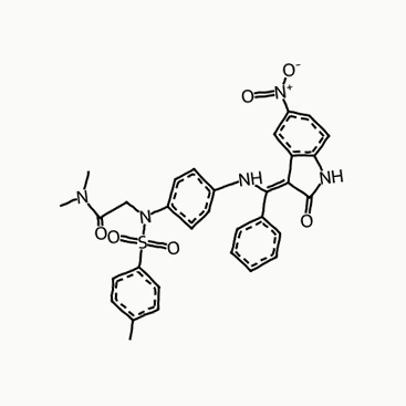 Cc1ccc(S(=O)(=O)N(CC(=O)N(C)C)c2ccc(NC(=C3C(=O)Nc4ccc([N+](=O)[O-])cc43)c3ccccc3)cc2)cc1